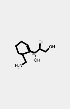 NCC1CCCC=C1[C@@H](O)C(O)CO